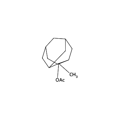 CC(=O)OC1(C)C2CCC3CC(C2)CC1C3